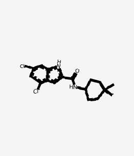 CC1(C)CCC(NC(=O)c2cc3c(Cl)cc(Cl)cc3[nH]2)CC1